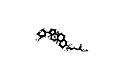 COC(=O)CCCS(=O)(=O)c1ccc2c(c1)CC[C@@H]1[C@@H]2CC[C@]2(C)C(c3cncc(C(F)(F)F)c3)=CC[C@@H]12